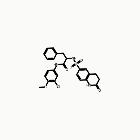 COc1ccc(NC(=O)C(Cc2ccccc2)NS(=O)(=O)c2ccc3c(c2)CCC(=O)N3)cc1Cl